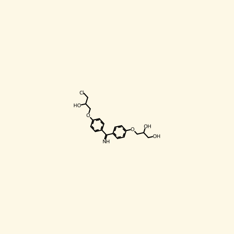 N=C(c1ccc(OCC(O)CO)cc1)c1ccc(OCC(O)CCl)cc1